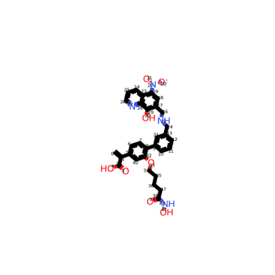 C=C(C(=O)O)c1ccc(-c2cccc(CNCc3cc([N+](=O)[O-])c4cccnc4c3O)c2)c(OCCCCC(=O)NO)c1